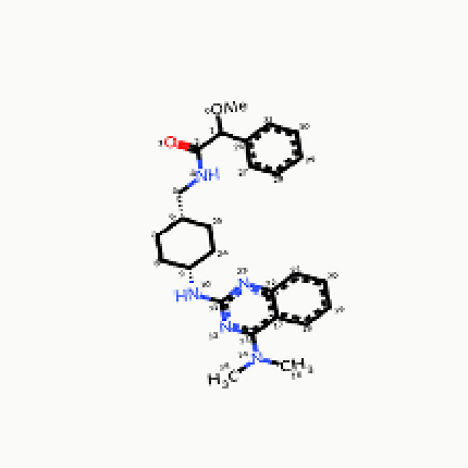 COC(C(=O)NC[C@H]1CC[C@@H](Nc2nc(N(C)C)c3ccccc3n2)CC1)c1ccccc1